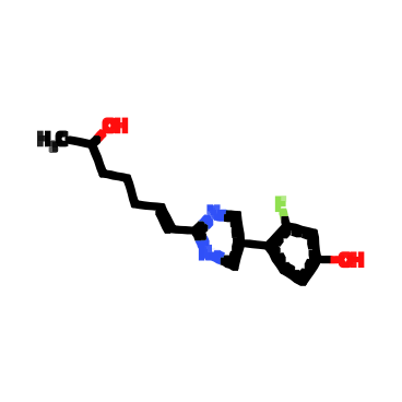 CC(O)CCCC=Cc1ncc(-c2ccc(O)cc2F)cn1